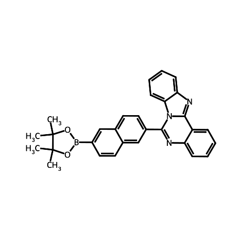 CC1(C)OB(c2ccc3cc(-c4nc5ccccc5c5nc6ccccc6n45)ccc3c2)OC1(C)C